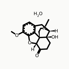 COc1ccc2c3c1O[C@H]1C(=O)CC[C@@]4(O)[C@@H](C2)N(C)CC[C@]314.O